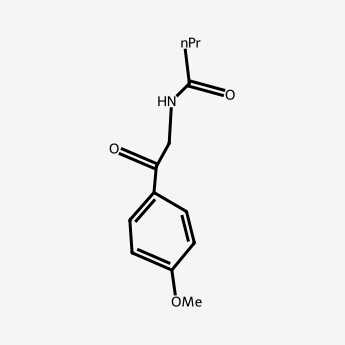 CCCC(=O)NCC(=O)c1ccc(OC)cc1